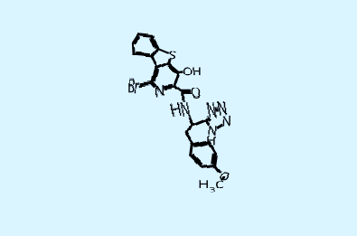 COc1ccc(CC(NC(=O)c2nc(Br)c3c(sc4ccccc43)c2O)c2nnn[nH]2)cc1